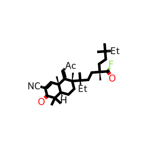 CCC(C)(C)CC[C@@](C)(CC[C@](C)(CC)[C@]1(C)CC[C@H]2C(C)(C)C(=O)C(C#N)=C[C@]2(C)/C1=C/C(C)=O)C(=O)F